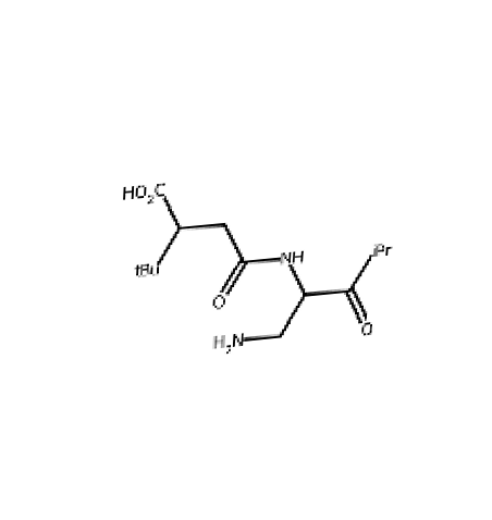 CC(C)C(=O)C(CN)NC(=O)CC(C(=O)O)C(C)(C)C